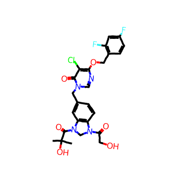 CC(C)(O)C(=O)N1CN(C(=O)CO)c2ccc(Cn3cnc(OCc4ccc(F)cc4F)c(Cl)c3=O)cc21